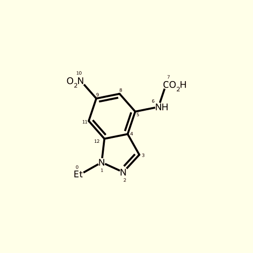 CCn1ncc2c(NC(=O)O)cc([N+](=O)[O-])cc21